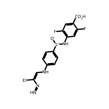 CC/C(=C/Nc1ccc([S+]([O-])Nc2cc(F)c(C(=O)O)cc2F)cc1)N=N